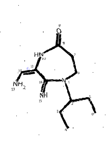 CCC(CC)N1CCC(=O)N/C(=C/N)C1=N